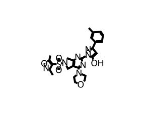 Cc1cccc(-c2cc(O)n(-c3nc4c(c(N5CCOCC5)n3)CN(S(=O)(=O)c3c(C)noc3C)C4)n2)c1